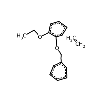 C=C.CCOc1ccccc1OCc1ccccc1